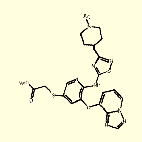 COC(=O)CSc1cnc(Nc2nc(C3CCN(C(C)=O)CC3)ns2)c(Oc2cccn3ncnc23)c1